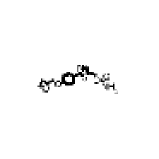 NC(=O)OCc1cnc(-c2ccc(OCC3CCO3)cc2)s1